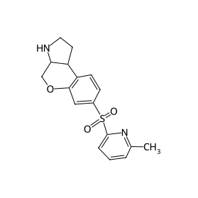 Cc1cccc(S(=O)(=O)c2ccc3c(c2)OCC2NCCC32)n1